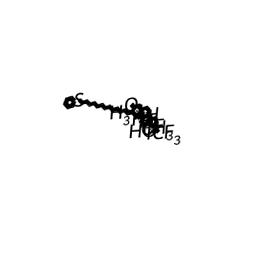 C[C@]12CC(CCCCCCCCCCCCCSc3ccccc3)C(=O)C=C1CC[C@@H]1[C@@H]2CC[C@@]2(C)[C@H]1CC[C@@]2(O)C(F)(F)C(F)(F)F